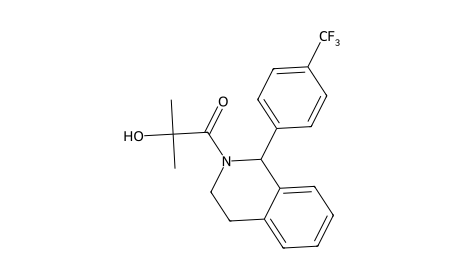 CC(C)(O)C(=O)N1CCc2ccccc2C1c1ccc(C(F)(F)F)cc1